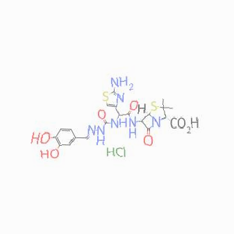 CC1(C)S[C@@H]2C(NC(=O)C(NC(=O)N/N=C/c3ccc(O)c(O)c3)c3csc(N)n3)C(=O)N2[C@H]1C(=O)O.Cl